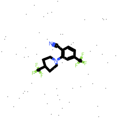 N#Cc1ccc(C(F)(F)F)cc1N1CCC(C(F)(F)F)CC1